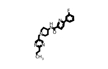 CCCc1ncc(CN2CCC(NC(=O)c3ccc(-c4cccc(F)c4)nc3)CC2)cn1